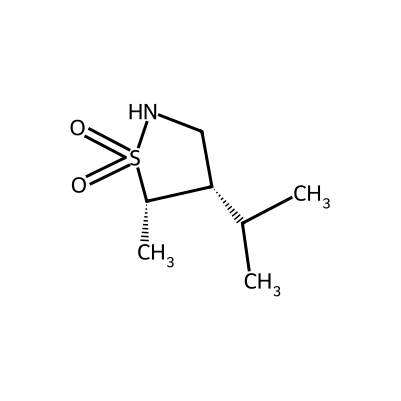 CC(C)[C@H]1CNS(=O)(=O)[C@H]1C